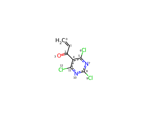 C=CC(=O)c1c(Cl)nc(Cl)nc1Cl